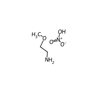 COCCN.O=[N+]([O-])O